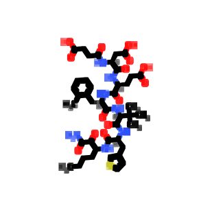 CCCCC(NC(=O)[C@H](Cc1ccsc1)NC(=O)[C@@H](NC(=O)[C@H](Cc1ccccc1C)NC(=O)[C@H](CCC(=O)O)NC(=O)[C@H](CC(=O)O)NC(=O)CCC(=O)O)C(C)(C)C)C(=O)C(N)=O